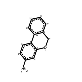 Nc1ccc2c(c1)OCc1ccccc1-2